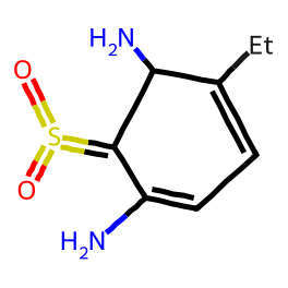 CCC1=CC=C(N)C(=S(=O)=O)C1N